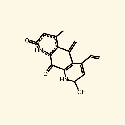 C=CC1=CC(O)NC2=C1C(=C)c1c(C)cc(=O)[nH]c1C2=O